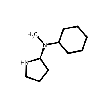 CN(C1CCCCC1)[C@H]1CCCN1